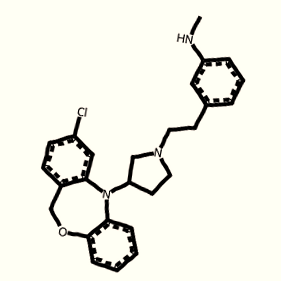 CNc1cccc(CCN2CCC(N3c4cc(Cl)ccc4COc4ccccc43)C2)c1